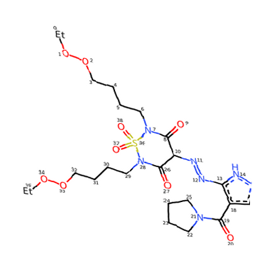 CCOOCCCCN1C(=O)C(N=Nc2[nH]nc(C)c2C(=O)N2CCCC2)C(=O)N(CCCCOOCC)S1(=O)=O